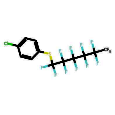 FC(F)(F)C(F)(F)C(F)(F)C(F)(F)C(F)(F)C(F)(F)Sc1ccc(Cl)cc1